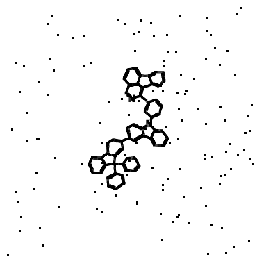 c1ccc(C2(c3ccccc3)c3ccccc3-c3ccc(-c4ccc5c(c4)c4ccccc4n5-c4cccc(-c5ncc6cccc7c6c5-c5ccccc5-7)c4)cc32)cc1